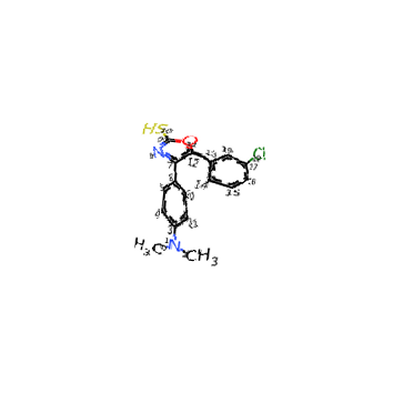 CN(C)c1ccc(-c2nc(S)oc2-c2cccc(Cl)c2)cc1